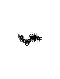 O=C(C1CCC(Oc2cccc(F)n2)CC1)N1CCC(O)(Cn2cnc3c(cnn3-c3ccc(F)cc3)c2=O)CC1